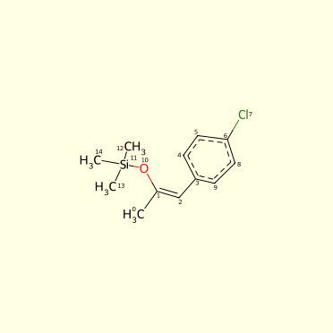 CC(=Cc1ccc(Cl)cc1)O[Si](C)(C)C